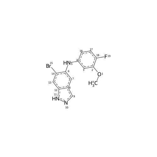 COc1cc(Nc2cc3cn[nH]c3cc2Br)ccc1F